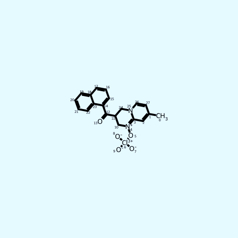 CC1=CC2=[N+](O[Cl+3]([O-])([O-])[O-])CC(C(=O)c3cccc4ccccc34)CN2C=C1